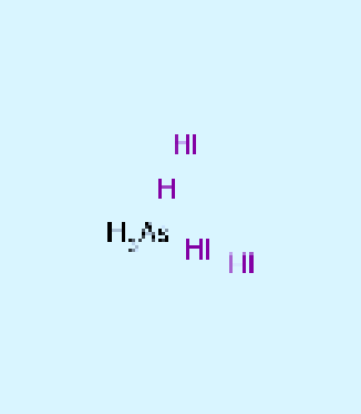 I.I.I.I.[AsH3]